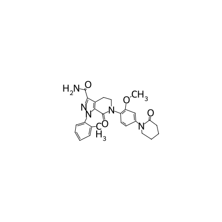 COc1cc(N2CCCCC2=O)ccc1N1CCc2c(C(N)=O)nn(-c3ccccc3C)c2C1=O